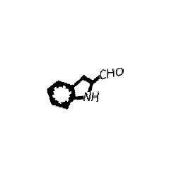 O=CC1Cc2ccccc2N1